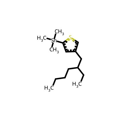 CCCCC(CC)Cc1cs[c]([Sn]([CH3])([CH3])[CH3])c1